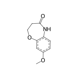 COc1ccc2c(c1)OCCC(=O)N2